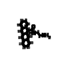 NCCNC(=O)c1c2ccccc2cc2cc3ccccc3cc12